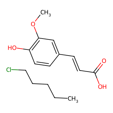 CCCCCCl.COc1cc(C=CC(=O)O)ccc1O